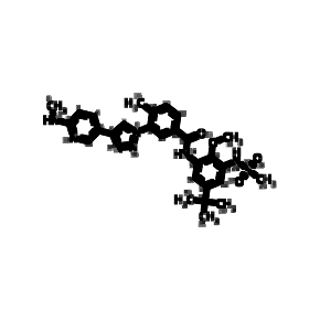 CNc1ccc(-c2cn(-c3cc(C(=O)Nc4cc(C(C)(C)C)cc(NS(C)(=O)=O)c4OC)ccc3C)nn2)cn1